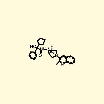 Cc1nc2ccccc2cc1N1CC2[C@@H](C1)[C@@H]2NC(=O)C(O)(c1ccccc1)C1CCCC1